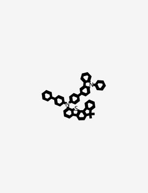 CC1(C)c2ccccc2-c2c1ccc1c2SC2C(N(c3ccc(-c4ccc5c(c4)c4ccccc4n5-c4ccccc4)cc3)C3C=CC(C4C=CC=CC4)=CC3)=CC=CC12